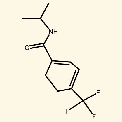 CC(C)NC(=O)C1=CC=C(C(F)(F)F)CC1